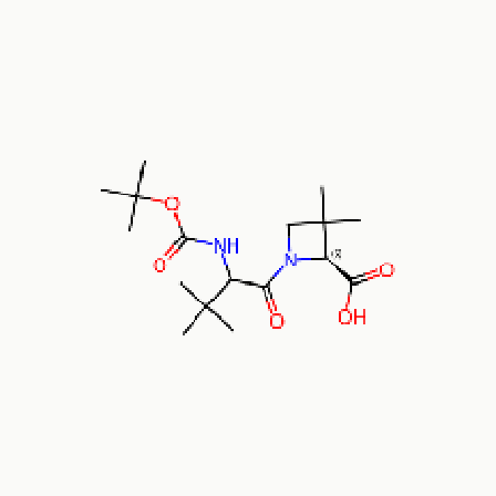 CC(C)(C)OC(=O)NC(C(=O)N1CC(C)(C)[C@H]1C(=O)O)C(C)(C)C